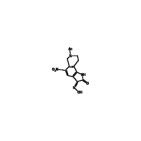 CC(=O)N1CCc2c(c([N+](=O)[O-])cc3c2NC(=O)/C3=N\O)C1